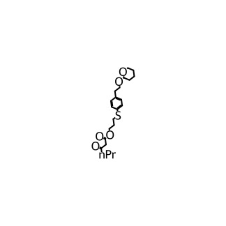 CCCC(=O)CC(=O)OCCCSc1ccc(CCOC2CCCCO2)cc1